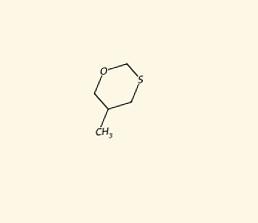 CC1COCSC1